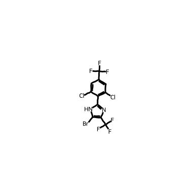 FC(F)(F)c1cc(Cl)c(-c2nc(C(F)(F)F)c(Br)[nH]2)c(Cl)c1